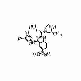 C[C@@H]1CN(C(=O)c2nc(Nc3cc(C4CC4)[nH]n3)c3cc(B(O)O)ccc3n2)CCN1.Cl